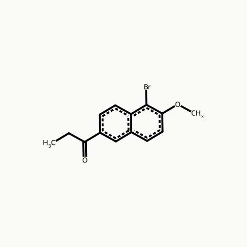 CCC(=O)c1ccc2c(Br)c(OC)ccc2c1